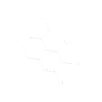 O=[N+]([O-])c1c(O)c(O)cc2c1/C(=N/O)CCC2